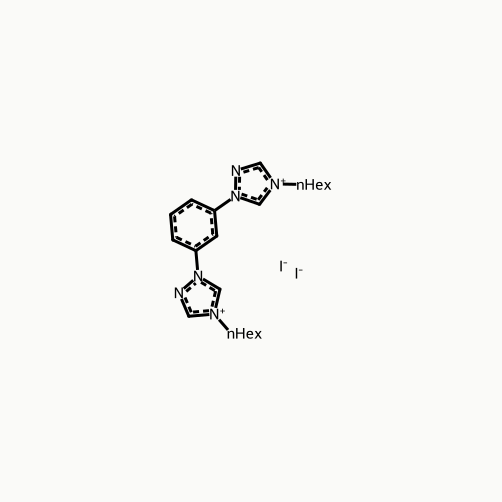 CCCCCC[n+]1cnn(-c2cccc(-n3c[n+](CCCCCC)cn3)c2)c1.[I-].[I-]